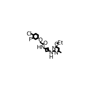 CCOc1cc(C)nc(NC23CC(NC(=O)COc4ccc(Cl)c(F)c4)(C2)C3)n1